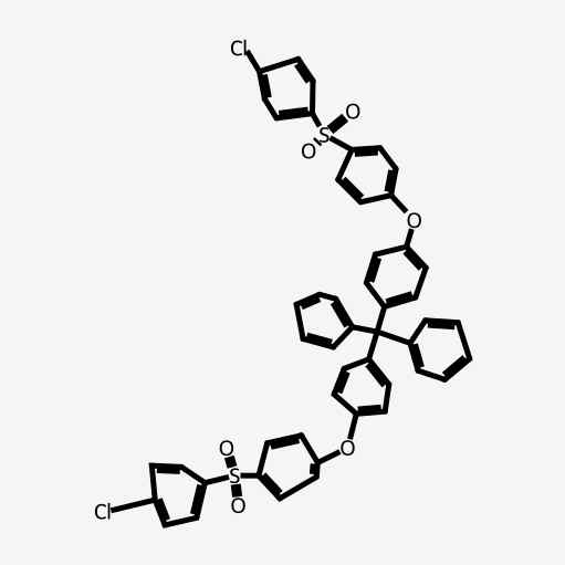 O=S(=O)(c1ccc(Cl)cc1)c1ccc(Oc2ccc(C(c3ccccc3)(c3ccccc3)c3ccc(Oc4ccc(S(=O)(=O)c5ccc(Cl)cc5)cc4)cc3)cc2)cc1